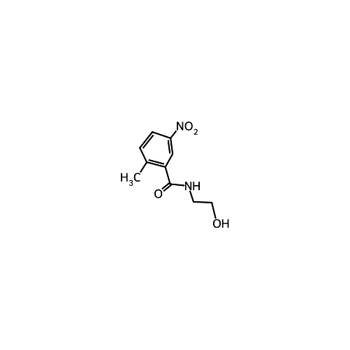 Cc1ccc([N+](=O)[O-])cc1C(=O)NCCO